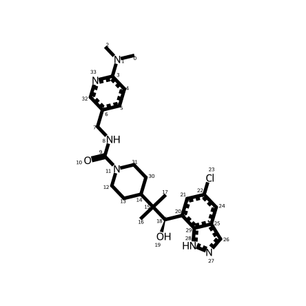 CN(C)c1ccc(CNC(=O)N2CCC(C(C)(C)[C@H](O)c3cc(Cl)cc4cn[nH]c34)CC2)cn1